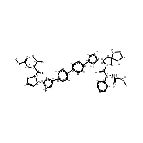 COC(=O)N[C@H](C(=O)N1CC=C[C@H]1c1nc(-c2ccc(-c3ccc(-c4cnc([C@@H]5CC6(CN5C(=O)[C@H](NC(=O)OC)c5ccccc5)OCCO6)[nH]4)cc3)cc2)c[nH]1)C(C)C